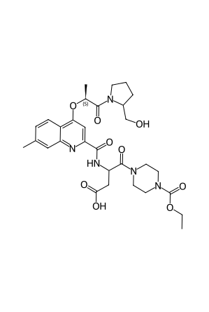 CCOC(=O)N1CCN(C(=O)C(CC(=O)O)NC(=O)c2cc(O[C@@H](C)C(=O)N3CCCC3CO)c3ccc(C)cc3n2)CC1